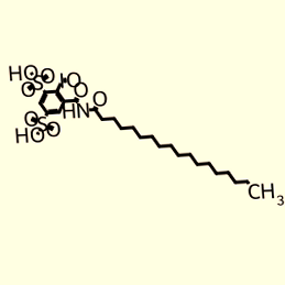 CCCCCCCCCCCCCCCCCC(=O)NC(=O)c1cc(S(=O)(=O)O)cc(S(=O)(=O)O)c1I=O